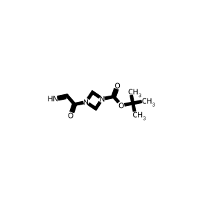 CC(C)(C)OC(=O)N1CN(C(=O)C=N)C1